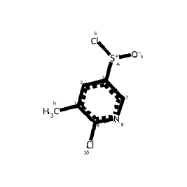 Cc1cc([S+]([O-])Cl)cnc1Cl